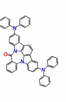 O=c1c2ccccc2n2c3ccc(N(c4ccccc4)c4ccccc4)cc3c3ccc4c5cc(N(c6ccccc6)c6ccccc6)ccc5n1c4c32